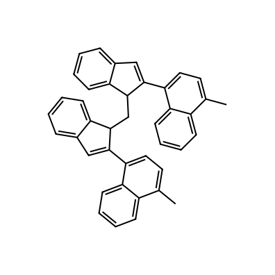 Cc1ccc(C2=Cc3ccccc3C2CC2C(c3ccc(C)c4ccccc34)=Cc3ccccc32)c2ccccc12